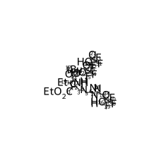 CCOC(=O)c1c(CNCc2nnc(C)[nH]2)[nH]c(C(=O)OC(C)(C)C)c1CC.O=C(O)C(F)(F)F.O=C(O)C(F)(F)F.O=C(O)C(F)(F)F